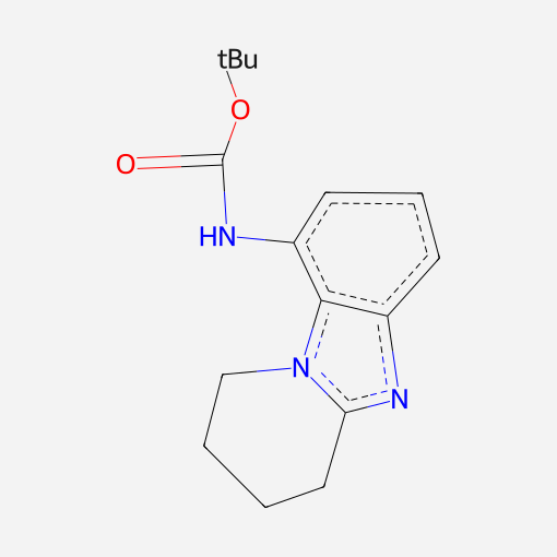 CC(C)(C)OC(=O)Nc1cccc2nc3n(c12)CCCC3